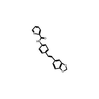 O=C(Nc1ccc(/C=C/c2ccc3c(c2)OCO3)cc1)c1ccccn1